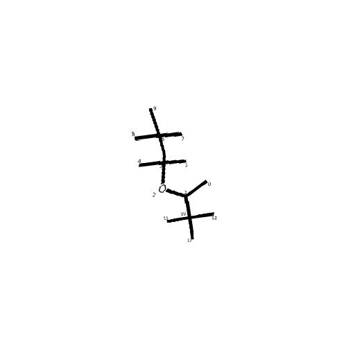 CC(OC(C)(C)C(C)(C)C)C(C)(C)C